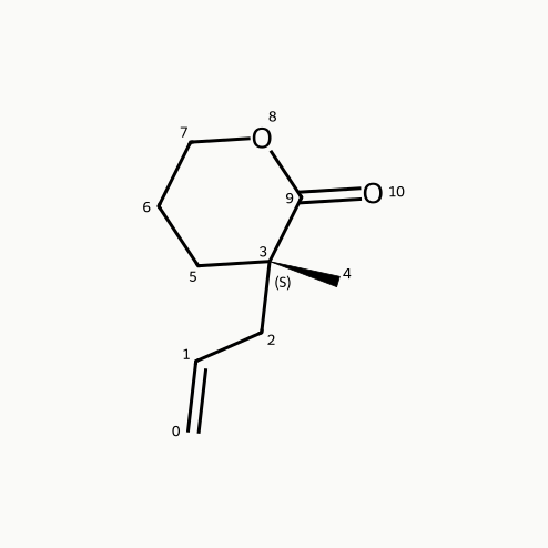 C=CC[C@]1(C)CCCOC1=O